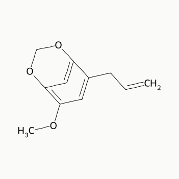 C=CCc1cc(OC)c2cc1OCO2